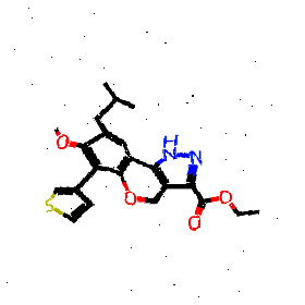 CCOC(=O)c1n[nH]c2c1COc1c-2cc(CC(C)C)c(OC)c1-c1ccsc1